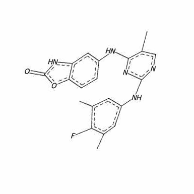 Cc1cnc(Nc2cc(C)c(F)c(C)c2)nc1Nc1ccc2oc(=O)[nH]c2c1